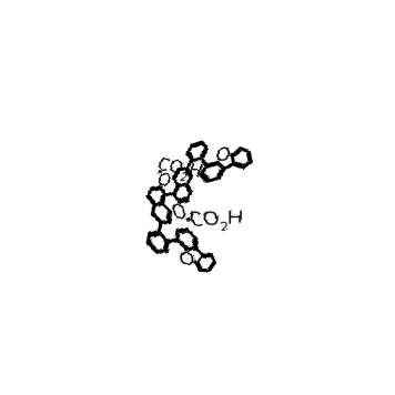 O=C(O)COc1ccc2cc(-c3ccccc3-c3cccc4c3oc3ccccc34)ccc2c1-c1c(OCC(=O)O)ccc2cc(-c3ccccc3-c3cccc4c3oc3ccccc34)ccc12